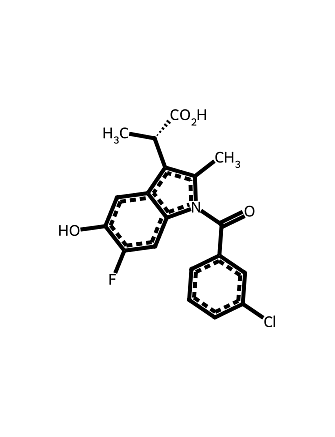 Cc1c([C@H](C)C(=O)O)c2cc(O)c(F)cc2n1C(=O)c1cccc(Cl)c1